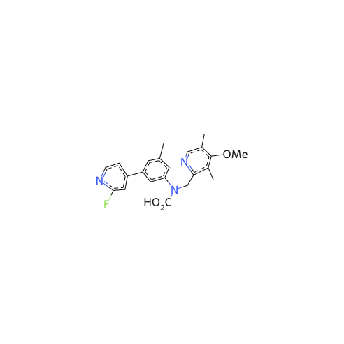 COc1c(C)cnc(CN(C(=O)O)c2cc(C)cc(-c3ccnc(F)c3)c2)c1C